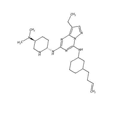 C=CCCC1CCCC(Nc2nc(N[C@H]3CC[C@H](N(C)C)CN3)nc3c(CC)cnn23)C1